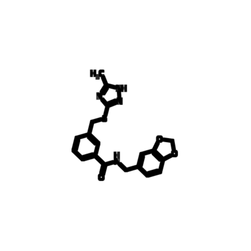 Cc1nc(SCc2cccc(C(=O)NCc3ccc4c(c3)OCO4)c2)n[nH]1